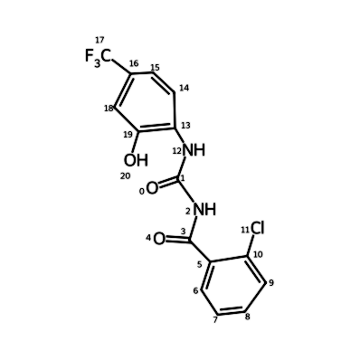 O=C(NC(=O)c1ccccc1Cl)Nc1ccc(C(F)(F)F)cc1O